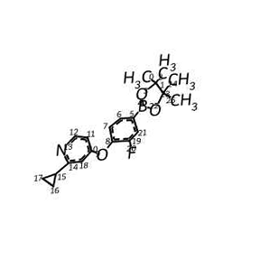 CC1(C)OB(c2ccc(Oc3ccnc(C4CC4)c3)c(F)c2)OC1(C)C